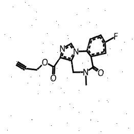 C#CCOC(=O)c1ncn2c1CN(C)C(=O)c1cc(F)ccc1-2